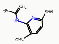 C=C(Nc1nc(SC)ccc1C=O)C(C)(C)C